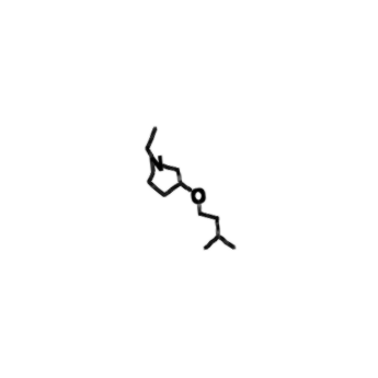 CCN1CCC(OCCC(C)C)C1